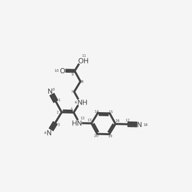 N#CC(C#N)=C(NCCC(=O)O)Nc1ccc(C#N)cc1